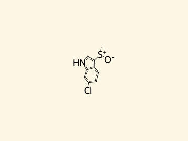 C[S+]([O-])c1c[nH]c2cc(Cl)ccc12